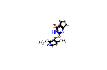 Cc1ccnc(C)c1CSc1nc2c(c(=O)[nH]1)CSC2